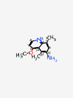 COc1ccnc2c(C)cc(N)c(C)c12